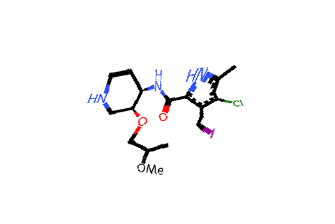 COC(C)CO[C@H]1CNCC[C@H]1NC(=O)c1[nH]c(C)c(Cl)c1CI